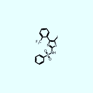 O=S(=O)(Nc1nc(-c2ccccc2C(F)(F)F)c(I)s1)c1ccccc1